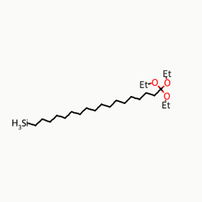 CCOC(CCCCCCCCCCCCCCCCC[SiH3])(OCC)OCC